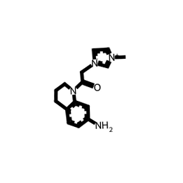 C[n+]1ccn(CC(=O)N2CCCc3ccc(N)cc32)c1